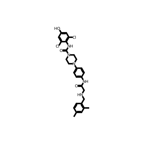 Cc1ccc(CNCC(=O)Nc2ccc(N3CCN(C(=O)Nc4c(Cl)cc(O)cc4Cl)CC3)cc2)c(C)c1